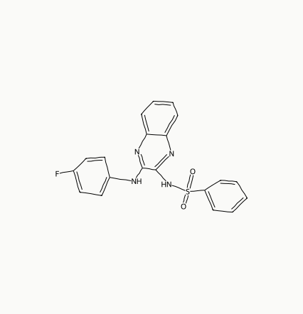 O=S(=O)(Nc1nc2ccccc2nc1Nc1ccc(F)cc1)c1ccccc1